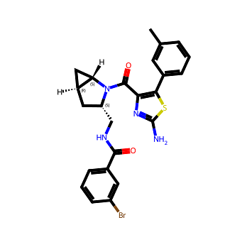 Cc1cccc(-c2sc(N)nc2C(=O)N2[C@H](CNC(=O)c3cccc(Br)c3)C[C@H]3C[C@@H]32)c1